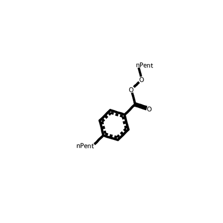 [CH2]CCCCOOC(=O)c1ccc(CCCCC)cc1